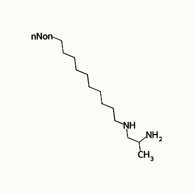 CCCCCCCCCCCCCCCCCCCNCC(C)N